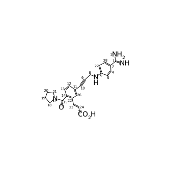 N=C(N)c1ccc(NCC#Cc2ccc(C(=O)N3CCCC3)c(C=CC(=O)O)c2)cc1